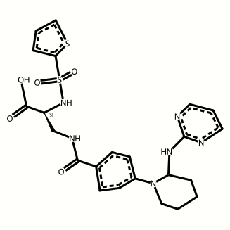 O=C(NC[C@H](NS(=O)(=O)c1cccs1)C(=O)O)c1ccc(N2CCCCC2Nc2ncccn2)cc1